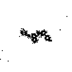 Cc1ccc(-c2cccc(C(=O)Nc3ccc(OCCN4CCOCC4)c4ccccc34)c2)cc1